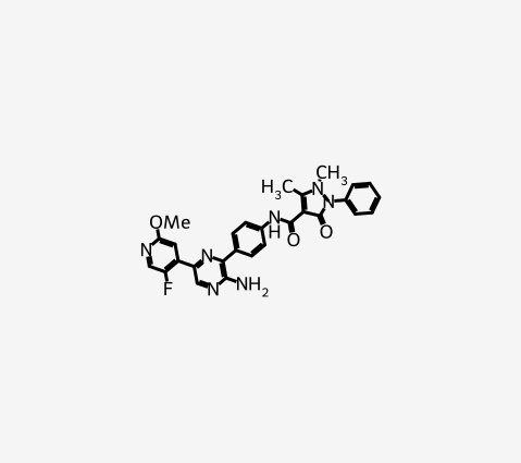 COc1cc(-c2cnc(N)c(-c3ccc(NC(=O)c4c(C)n(C)n(-c5ccccc5)c4=O)cc3)n2)c(F)cn1